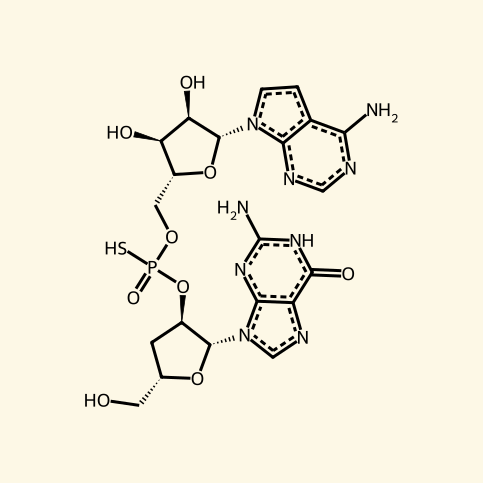 Nc1nc2c(ncn2[C@@H]2O[C@H](CO)C[C@H]2OP(=O)(S)OC[C@H]2O[C@@H](n3ccc4c(N)ncnc43)[C@H](O)[C@@H]2O)c(=O)[nH]1